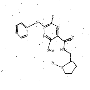 CCN1CCCC1CNC(=O)c1nc(Cl)c(Sc2ccccc2)nc1OC